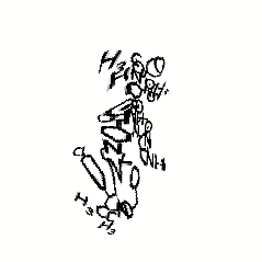 COC1(CNc2ccc(S(=O)(=O)NC(=O)c3ccc(N4CCN5CC6=C(c7ccc(Cl)cc7)CC(C)(C)C[C@H]6OCCCOCC5C4)cc3N3CCCOc4nc5[nH]ccc5cc43)cc2[NH+]([O-])O)CCOCC1